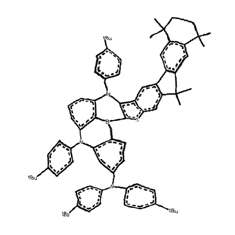 CC(C)(C)c1ccc(N(c2ccc(C(C)(C)C)cc2)c2ccc3c(c2)N(c2ccc(C(C)(C)C)cc2)c2cccc4c2B3c2sc3cc5c(cc3c2N4c2ccc(C(C)(C)C)cc2)-c2cc3c(cc2C5(C)C)C(C)(C)CCC3(C)C)cc1